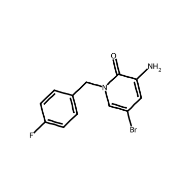 Nc1cc(Br)cn(Cc2ccc(F)cc2)c1=O